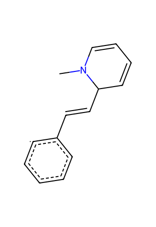 CN1C=CC=CC1/C=C/c1[c]cccc1